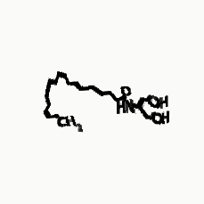 CC/C=C\C/C=C\C/C=C\CCCCCCCC(=O)NC(CO)CO